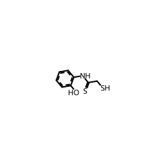 Oc1ccccc1NC(=S)CS